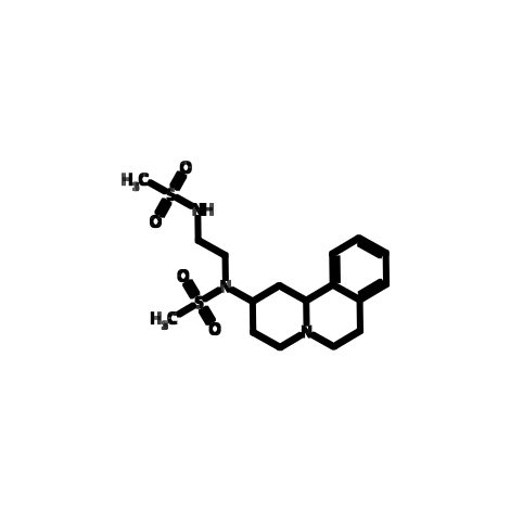 CS(=O)(=O)NCCN(C1CCN2CCc3ccccc3C2C1)S(C)(=O)=O